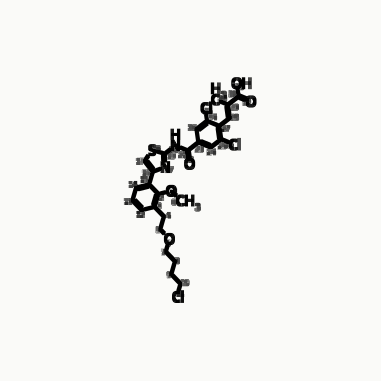 COc1c(CCOCCCCCl)cccc1-c1csc(NC(=O)c2cc(Cl)c(C=C(C)C(=O)O)c(Cl)c2)n1